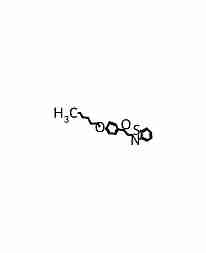 CCCCCCOc1ccc(C(=O)Cc2nc3ccccc3s2)cc1